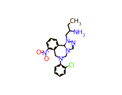 CCC(N)CN1N=CN2CN(c3ccccc3Cl)Cc3c(cccc3[N+](=O)[O-])C21